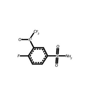 NS(=O)(=O)c1ccc(F)c([S+]([O-])C(F)(F)F)c1